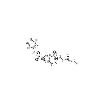 CCOC(=O)CCN1CCn2nc(C(=O)OCc3ccccc3)cc2C1=O